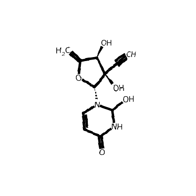 C#C[C@@]1(O)[C@H](O)C(=C)O[C@H]1N1C=CC(=O)NC1O